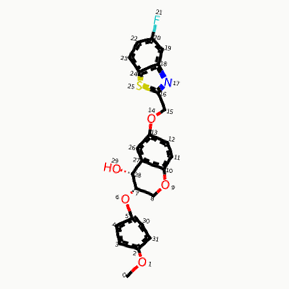 COc1ccc(O[C@H]2COc3ccc(OCc4nc5cc(F)ccc5s4)cc3[C@H]2O)cc1